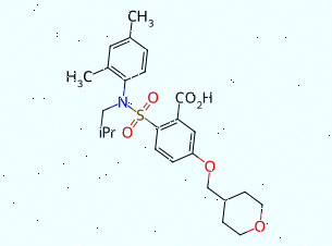 Cc1ccc(N(CC(C)C)S(=O)(=O)c2ccc(OCC3CCOCC3)cc2C(=O)O)c(C)c1